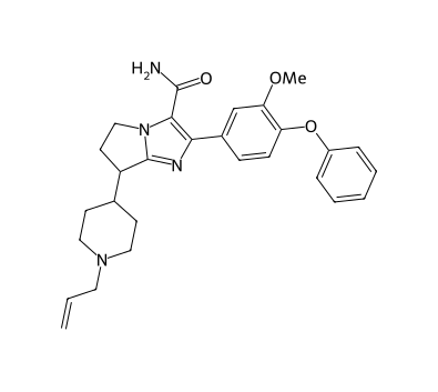 C=CCN1CCC(C2CCn3c2nc(-c2ccc(Oc4ccccc4)c(OC)c2)c3C(N)=O)CC1